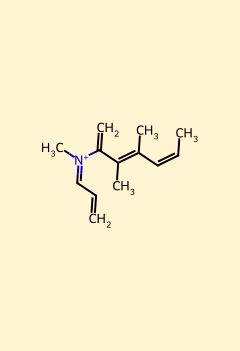 C=C/C=[N+](/C)C(=C)/C(C)=C(C)/C=C\C